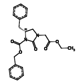 CCOC(=O)CN1C[C@@H](Cc2ccccc2)N(C(=O)OCc2ccccc2)C1=O